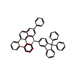 c1ccc(-c2cccc(N(c3ccc4c(c3)-c3ccccc3C4(c3ccccc3)c3ccccc3)c3ccccc3-c3ccccc3-c3ccccc3-c3ccccc3)c2)cc1